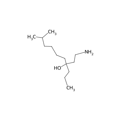 CCCC(O)(CCN)CCCCC(C)C